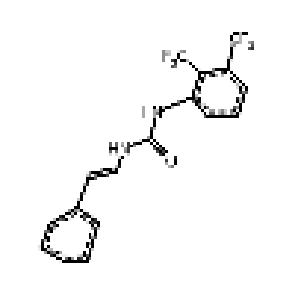 O=C(NC=Cc1ccccc1)Nc1cccc(C(F)(F)F)c1C(F)(F)F